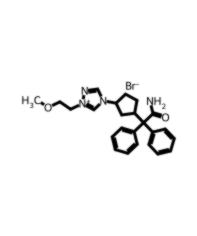 COCC[n+]1cn(C2CCC(C(C(N)=O)(c3ccccc3)c3ccccc3)C2)cn1.[Br-]